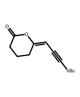 CCCCC#C/C=C1\CCCC(=O)O1